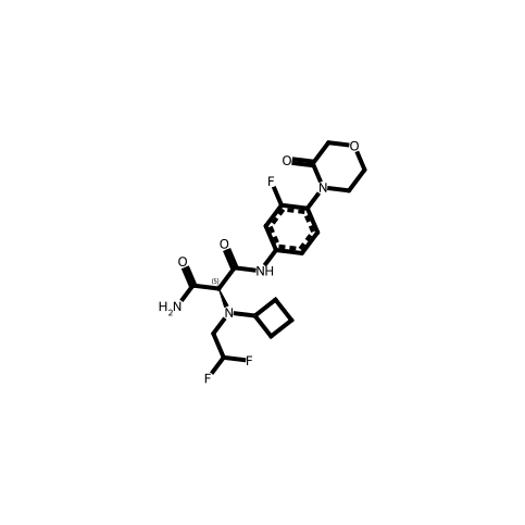 NC(=O)[C@@H](C(=O)Nc1ccc(N2CCOCC2=O)c(F)c1)N(CC(F)F)C1CCC1